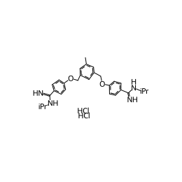 Cc1cc(COc2ccc(C(=N)NC(C)C)cc2)cc(COc2ccc(C(=N)NC(C)C)cc2)c1.Cl.Cl